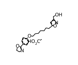 CC(=O)O.OCc1cc(CCCCCCCOc2ccc(C3=NCCO3)cc2)on1